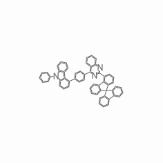 c1ccc(-n2c3ccccc3c3c(-c4ccc(-c5nc(-c6cccc7c6-c6ccccc6C76c7ccccc7-c7ccccc76)nc6ccccc56)cc4)cccc32)cc1